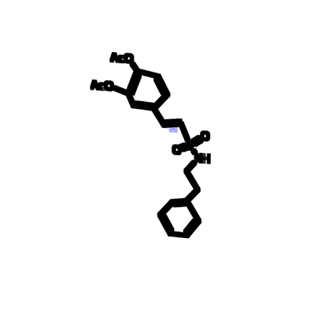 CC(=O)Oc1ccc(/C=C/S(=O)(=O)NCCc2ccccc2)cc1OC(C)=O